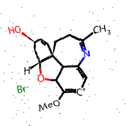 COC1=[C+]C=C2N=C(C)CC[C@]34C=C[C@H](O)C[C@H]3OC1C24.[Br-]